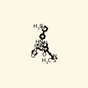 Cc1scnc1C#Cc1cc2cnc(Nc3ccc(C4CCCN(C)C4)cc3)nc2n(Cc2ncsc2N2CCOCC2)c1=O